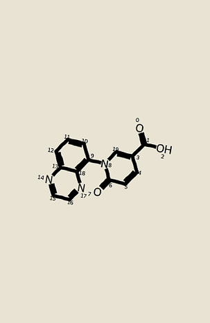 O=C(O)c1ccc(=O)n(-c2cccc3nccnc23)c1